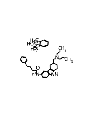 CC1C=CC=CC1(C)S(=O)(=O)O.CCCN(CCC)CC1CCc2[nH]c3ccc(NC(=O)CCCc4ccccc4)cc3c2C1